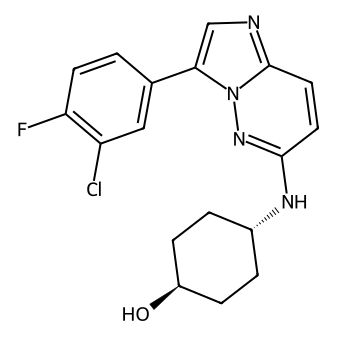 O[C@H]1CC[C@H](Nc2ccc3ncc(-c4ccc(F)c(Cl)c4)n3n2)CC1